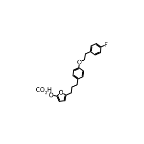 O=C(O)Oc1ccc(CCCc2ccc(OCCc3ccc(F)cc3)cc2)o1